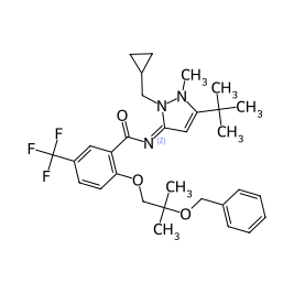 Cn1c(C(C)(C)C)c/c(=N/C(=O)c2cc(C(F)(F)F)ccc2OCC(C)(C)OCc2ccccc2)n1CC1CC1